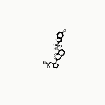 CCN(CC)C[C@@H]1CCCN1C(=O)CN1CCC[C@H](NS(=O)(=O)c2cc3cc(Cl)ccc3s2)C1=O